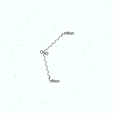 CCCCCCCCCC=CCCCCCCCCCS(=O)(=O)CCCCCCCCCC=CCCCCCCCCC